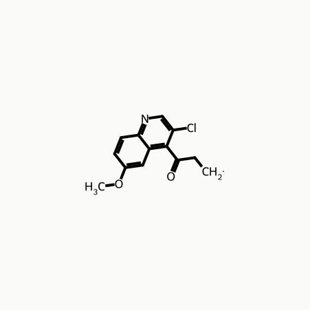 [CH2]CC(=O)c1c(Cl)cnc2ccc(OC)cc12